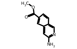 COC(=O)c1ccc2cnc(N)cc2c1